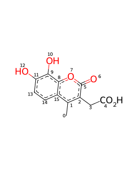 Cc1c(CC(=O)O)c(=O)oc2c(O)c(O)ccc12